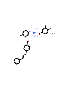 COc1cc(C(=O)NC(=N)Nc2ccc(C)c(NC(=O)c3ccc(C/C=C/c4ccccc4)cc3)c2)cc(C)c1C